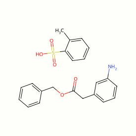 Cc1ccccc1S(=O)(=O)O.Nc1cccc(CC(=O)OCc2ccccc2)c1